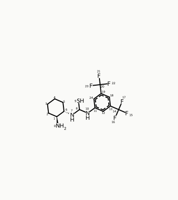 N[C@H]1CCCC[C@@H]1NC(S)Nc1cc(C(F)(F)F)cc(C(F)(F)F)c1